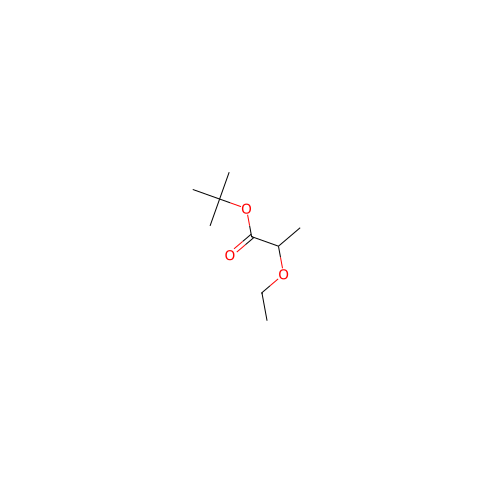 CCOC(C)C(=O)OC(C)(C)C